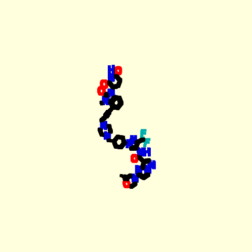 C[C@@H]1CN(c2ccn3ncc(C(=O)Nc4cn([C@H]5CC[C@H](CN6CCN(CC#Cc7cccc8c7n(C)c(=O)n8C7CCC(=O)NC7=O)CC6)CC5)nc4C(F)F)c3n2)CCO1